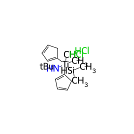 C[SiH](C)[Ti]([CH3])([CH3])([NH]C(C)(C)C)([C]1=CC=CC1)[C]1=CC=CC1.Cl.Cl